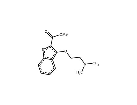 COC(=O)c1sc2ccccc2c1OCCN(C)C